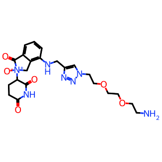 NCCOCCOCCn1cc(CNc2cccc3c2C[N+]([O-])(C2CCC(=O)NC2=O)C3=O)nn1